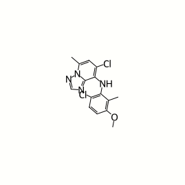 COc1ccc(Cl)c(Nc2c(Cl)cc(C)n3ncnc23)c1C